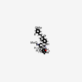 CO/N=C1\CCN(/C(=N\[C@H]2C[C@@H]3C[C@H]([C@@H]2C)C3(C)C)Nc2ccc3c(=O)n(CCc4ccc(OC)cc4F)cnc3c2)CC1C